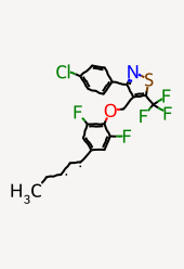 CC[CH]C[CH]c1cc(F)c(OCc2c(-c3ccc(Cl)cc3)nsc2C(F)(F)F)c(F)c1